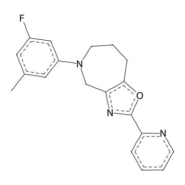 Cc1cc(F)cc(N2CCCc3oc(-c4ccccn4)nc3C2)c1